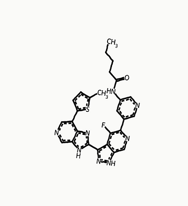 CCCCC(=O)Nc1cncc(-c2ncc3[nH]nc(-c4nc5c(-c6ccc(C)s6)cncc5[nH]4)c3c2F)c1